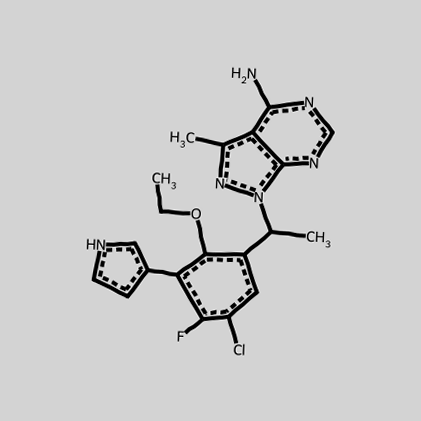 CCOc1c(C(C)n2nc(C)c3c(N)ncnc32)cc(Cl)c(F)c1-c1cc[nH]c1